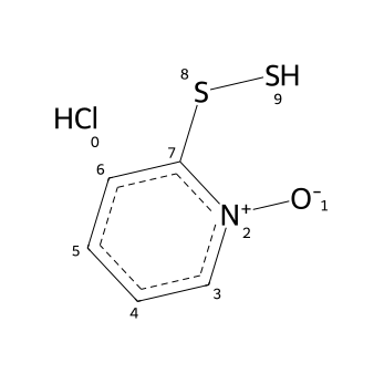 Cl.[O-][n+]1ccccc1SS